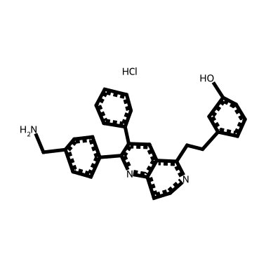 Cl.NCc1ccc(-c2nc3ccnc(CCc4cccc(O)c4)c3cc2-c2ccccc2)cc1